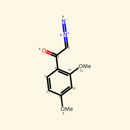 COc1ccc(C(=O)C=[N+]=[N-])c(OC)c1